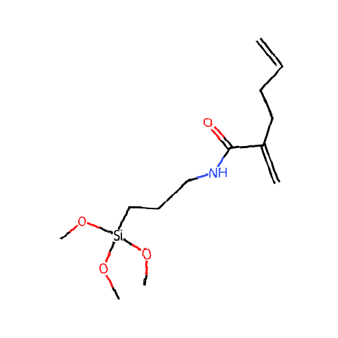 C=CCCC(=C)C(=O)NCCC[Si](OC)(OC)OC